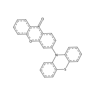 O=c1c2ccccc2oc2cc(N3c4ccccc4Sc4ccccc43)ccc12